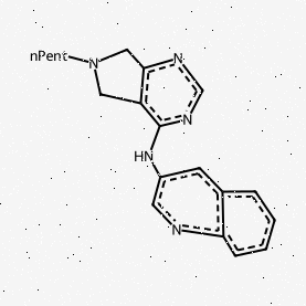 CCCCCN1Cc2ncnc(Nc3cnc4ccccc4c3)c2C1